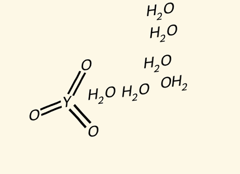 O.O.O.O.O.O.[O]=[Y](=[O])=[O]